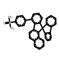 CP(C)(=O)c1ccc(-c2cccc3c2-c2ccc4ccccc4c2C32c3ccccc3-c3ccccc32)cc1